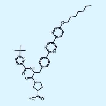 CCCCCCCOc1ccc(-c2cnc(-c3ccc(C[C@H](NC(=O)c4ccc(C(C)(C)C)s4)C(=O)N4CC[C@H](C(=O)O)C4)cc3)nc2)nc1